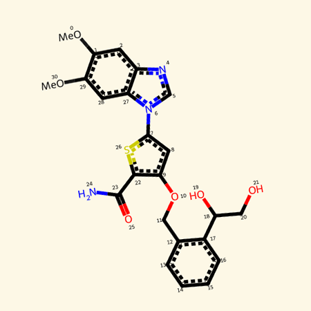 COc1cc2ncn(-c3cc(OCc4ccccc4C(O)CO)c(C(N)=O)s3)c2cc1OC